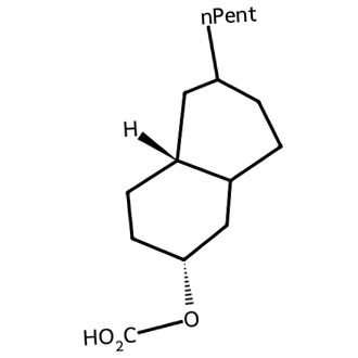 CCCCCC1CCC2C[C@H](OC(=O)O)CC[C@@H]2C1